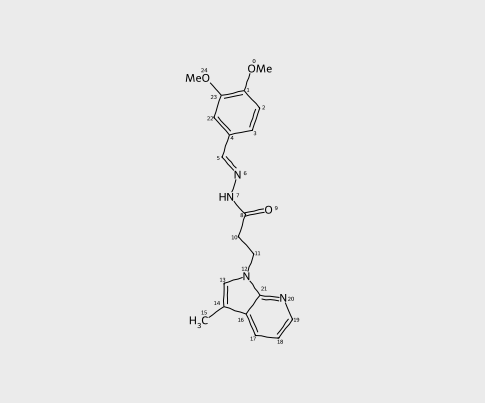 COc1ccc(/C=N/NC(=O)CCn2cc(C)c3cccnc32)cc1OC